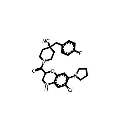 N#CC1(Cc2ccc(F)cc2)CCN(C(=O)C2CNc3cc(Cl)c(N4CCCC4)cc3O2)CC1